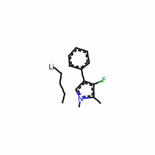 Cc1c(F)c(-c2ccccc2)cn1C.[Li][CH2]CCC